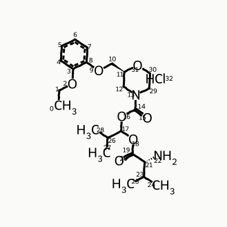 CCOc1ccccc1OC[C@@H]1CN(C(=O)OC(OC(=O)[C@H](N)C(C)C)C(C)C)CCO1.Cl